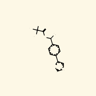 NC(OC(=O)C(F)(F)F)c1ccc(-c2cnco2)cc1